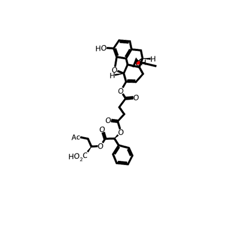 CC(=O)C[C@@H](OC(=O)[C@@H](OC(=O)CCC(=O)OC1=CC[C@@]2(O)[C@H]3Cc4ccc(O)c5c4[C@@]2(CCN3C)[C@H]1O5)c1ccccc1)C(=O)O